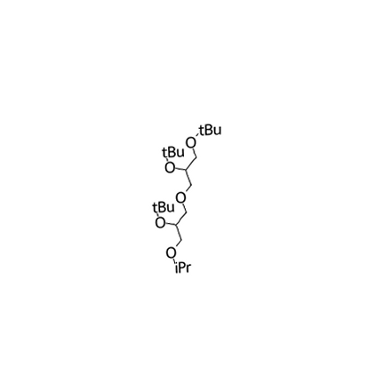 CC(C)OCC(COCC(COC(C)(C)C)OC(C)(C)C)OC(C)(C)C